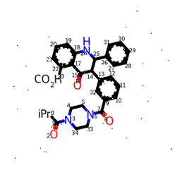 CC(C)C(=O)N1CCN(C(=O)c2cccc(C3C(=O)c4c(cccc4C(=O)O)NC3c3ccccc3)c2)CC1